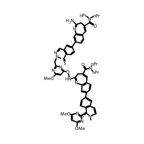 CCCN(CCC)C(=O)C1=Cc2ccc(-c3ccc(C=S)c(/C=N\N(C)Cc4nc(OC)cc(ONC5=Nc6cc(-c7ccc(C=S)c(/C=C\N(C)Cc8nc(OC)cc(OC)n8)c7)ccc6C=C(C(=O)N(CCC)CCC)C5)n4)c3)cc2N=C(N)C1